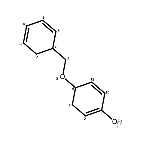 OC1=CCC(OCC2C=CC=CC2)C=C1